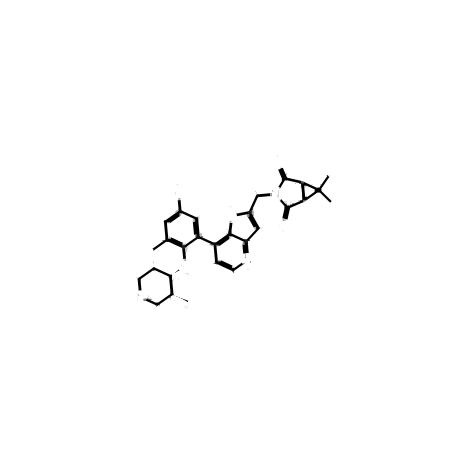 Cc1cc(Cl)cc(-c2ccnc3cc(CN4C(=O)C5C(C4=O)C5(C)C)sc23)c1O[C@@H]1CCNC[C@@H]1C